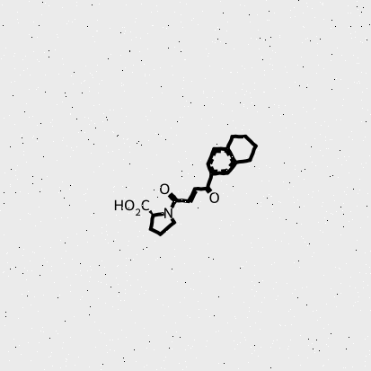 O=C(C=CC(=O)N1CCC[C@H]1C(=O)O)c1ccc2c(c1)CCCC2